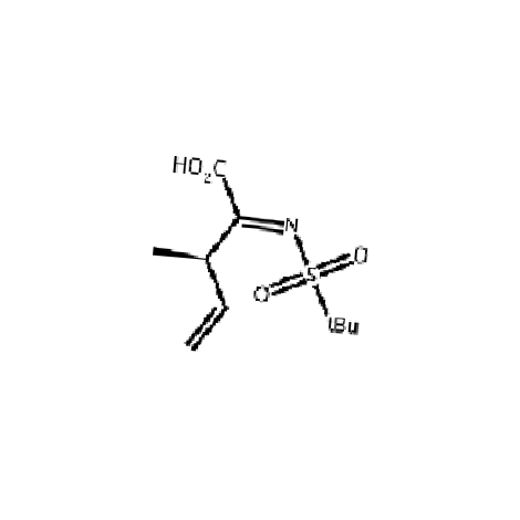 C=C[C@@H](C)C(=NS(=O)(=O)C(C)(C)C)C(=O)O